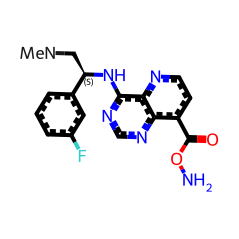 CNC[C@@H](Nc1ncnc2c(C(=O)ON)ccnc12)c1cccc(F)c1